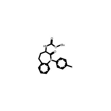 CC(C)(C)OC(=O)NC1CCc2ccccc2N(c2ccc(I)cc2)C1=O